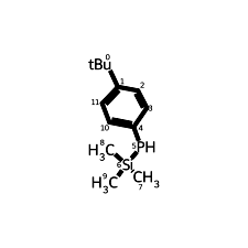 CC(C)(C)c1ccc(P[Si](C)(C)C)cc1